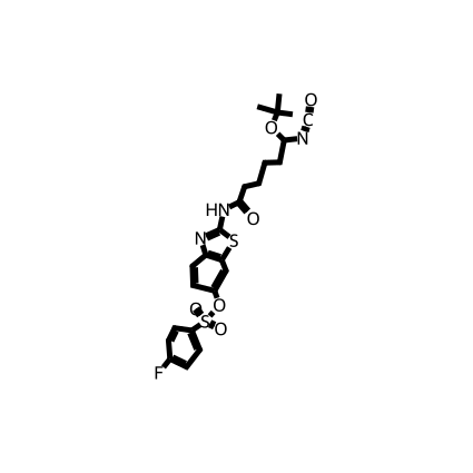 CC(C)(C)OC(CCCCC(=O)Nc1nc2ccc(OS(=O)(=O)c3ccc(F)cc3)cc2s1)N=C=O